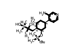 C[C@@H]1C[C@@H](c2ccncc2N)C[C@@H](O[Si](C)(C)C(C)(C)C)[C@H]1CC(C)(C)[Si](C)(C)O